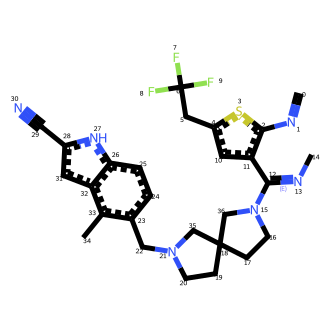 C=Nc1sc(CC(F)(F)F)cc1/C(=N\C)N1CCC2(CCN(Cc3ccc4[nH]c(C#N)cc4c3C)C2)C1